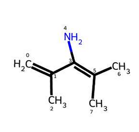 C=C(C)C(N)=C(C)C